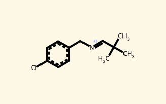 CC(C)(C)/C=N/Cc1ccc(Cl)cc1